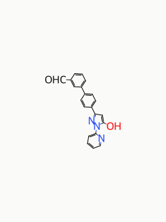 O=Cc1cccc(-c2ccc(-c3cc(O)n(-c4ccccn4)n3)cc2)c1